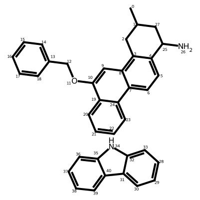 CC1Cc2c(ccc3c2cc(OCc2ccccc2)c2ccccc23)C(N)C1.c1ccc2c(c1)[nH]c1ccccc12